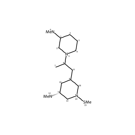 CNC1CCCN(C(C)CC2C[C@@H](NC)CN(SC)C2)C1